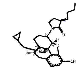 CCC/C=C1\CCN([C@@H]2CC[C@@]3(O)[C@H]4Cc5ccc(O)c6c5[C@@]3(CCN4CC3CC3)[C@H]2O6)C1=O